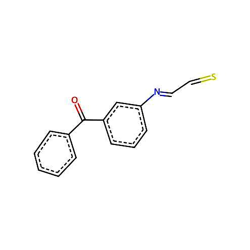 O=C(c1ccccc1)c1cccc(N=CC=S)c1